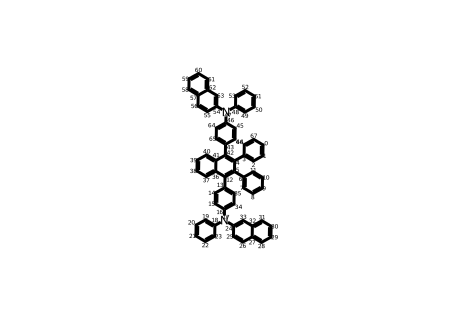 c1ccc(-c2c(-c3ccccc3)c(-c3ccc(N(c4ccccc4)c4ccc5ccccc5c4)cc3)c3ccccc3c2-c2ccc(N(c3ccccc3)c3ccc4ccccc4c3)cc2)cc1